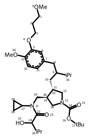 COCCCOc1cc(CC(C[C@@H]2CN(C(=O)OC(C)(C)C)C[C@H]2CN(C(=O)C(O)C(C)C)C2CC2)C(C)C)ccc1OC